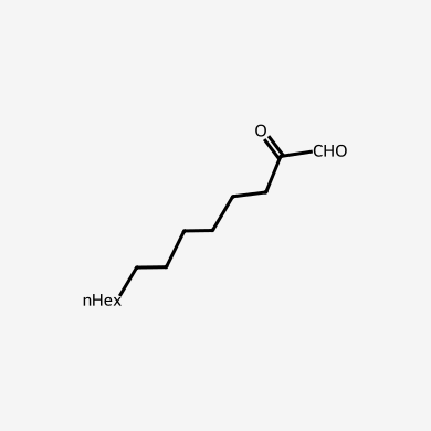 CCCCCCCCCCCCC(=O)C=O